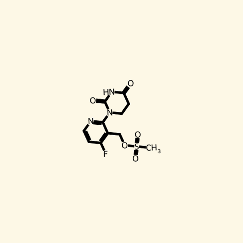 CS(=O)(=O)OCc1c(F)ccnc1N1CCC(=O)NC1=O